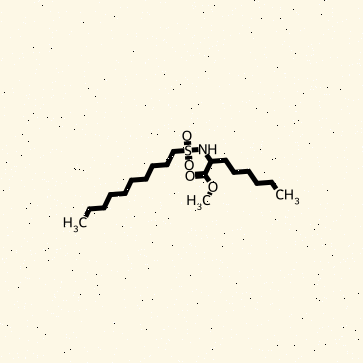 CCCCCCCCCCS(=O)(=O)NC(CCCCCC)C(=O)OC